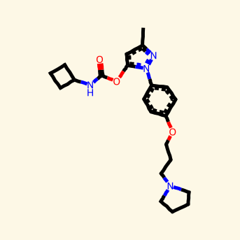 Cc1cc(OC(=O)NC2CCC2)n(-c2ccc(OCCCN3CCCC3)cc2)n1